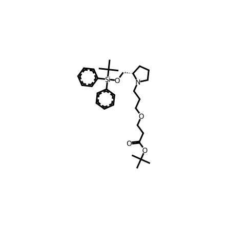 CC(C)(C)OC(=O)CCOCCCN1CCC[C@H]1CO[Si](c1ccccc1)(c1ccccc1)C(C)(C)C